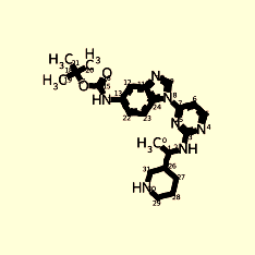 CC(Nc1nccc(-n2cnc3cc(NC(=O)OC(C)(C)C)ccc32)n1)C1CCCNC1